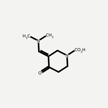 CN(C)C=C1CN(C(=O)O)CCC1=O